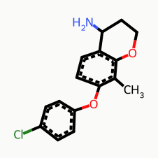 Cc1c(Oc2ccc(Cl)cc2)ccc2c1OCCC2N